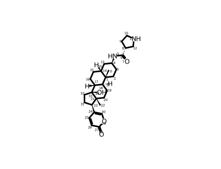 C[C@]12CC[C@H](NC(=O)[C@@H]3CCNC3)C[C@H]1CC[C@@H]1[C@@H]2CC[C@]2(C)[C@@H](c3ccc(=O)oc3)CC[C@]12O